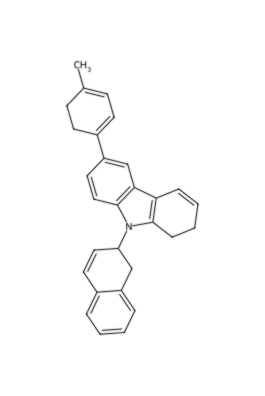 CC1=CC=C(c2ccc3c(c2)c2c(n3C3C=Cc4ccccc4C3)CCC=C2)CC1